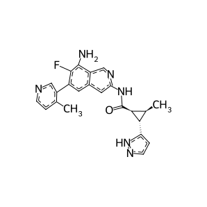 Cc1ccncc1-c1cc2cc(NC(=O)[C@H]3[C@@H](C)[C@@H]3c3ccn[nH]3)ncc2c(N)c1F